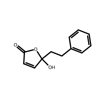 O=C1C=CC(O)(CCc2ccccc2)O1